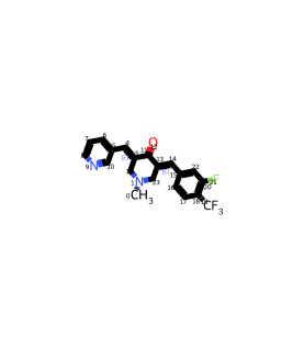 CN1C/C(=C\c2cccnc2)C(=O)/C(=C/c2ccc(C(F)(F)F)c(F)c2)C1